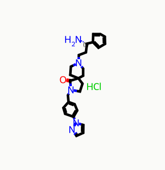 Cl.N[C@@H](CCN1CCC2(CC1)CCN(Cc1ccc(-n3cccn3)cc1)C2=O)c1ccccc1